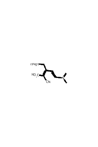 CCCCCCCCC(C=CN(C)C)=C(C#N)C(=O)O